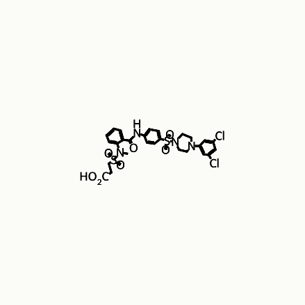 CN(c1ccccc1C(=O)Nc1ccc(S(=O)(=O)N2CCN(c3cc(Cl)cc(Cl)c3)CC2)cc1)S(=O)(=O)CCC(=O)O